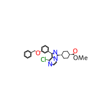 COC(=O)[C@H]1CC[C@@H](c2nc(-c3cccc(OCc4ccccc4)c3)c3c(Cl)nccn32)CC1